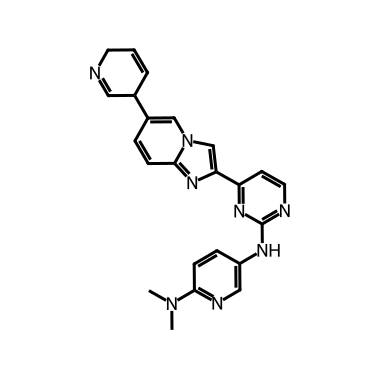 CN(C)c1ccc(Nc2nccc(-c3cn4cc(C5C=CCN=C5)ccc4n3)n2)cn1